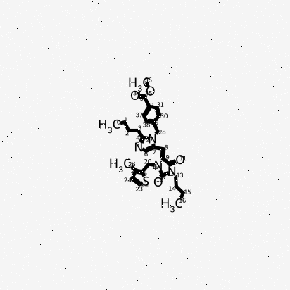 CCCCc1ncc(/C=C2/C(=O)N(CCCC)C(=O)N2Cc2sccc2C)n1Cc1ccc(C(=O)OC)cc1